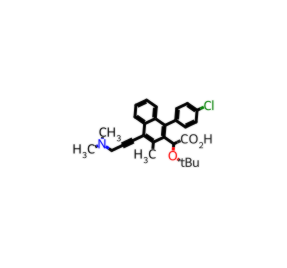 Cc1c(C(OC(C)(C)C)C(=O)O)c(-c2ccc(Cl)cc2)c2ccccc2c1C#CCN(C)C